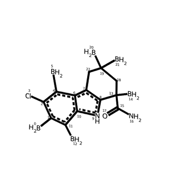 Bc1c(Cl)c(B)c2c3c([nH]c2c1B)C(B)(C(N)=O)CC(B)(B)C3